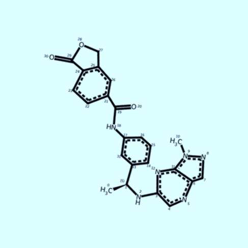 C[C@H](Nc1cnc2cnn(C)c2n1)c1cccc(NC(=O)c2ccc3c(c2)COC3=O)c1